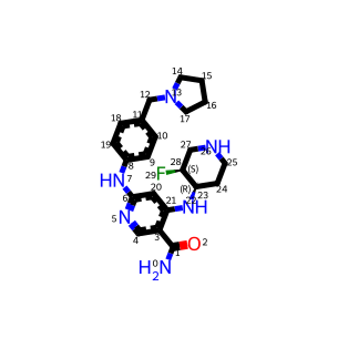 NC(=O)c1cnc(Nc2ccc(CN3CCCC3)cc2)cc1N[C@@H]1CCNC[C@@H]1F